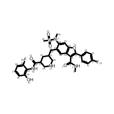 CNC(=O)c1c(-c2ccc(F)cc2)oc2cc(N(C)S(C)(=O)=O)c(CC3CNCC(C(=O)Nc4c(O)cccc4F)C3)cc12